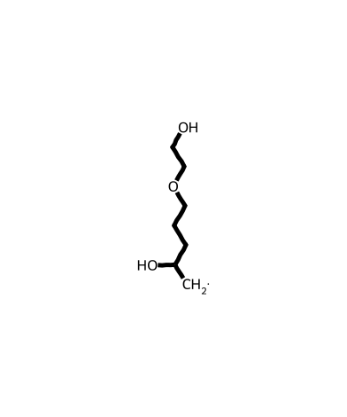 [CH2]C(O)CCCOCCO